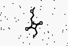 COCCN1C(=O)C(CF)C1=O